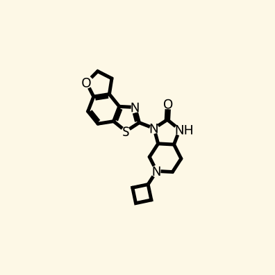 O=C1NC2CCN(C3CCC3)CC2N1c1nc2c3c(ccc2s1)OCC3